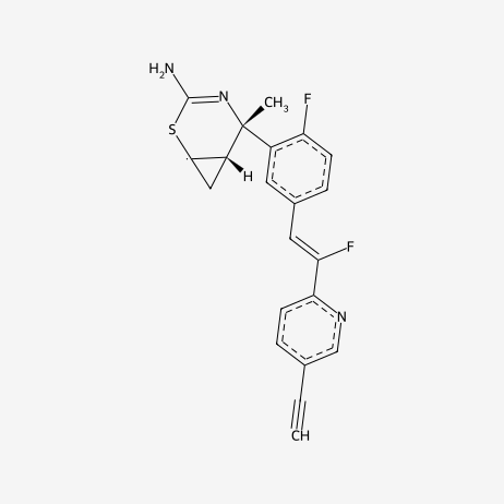 C#Cc1ccc(/C(F)=C/c2ccc(F)c([C@@]3(C)N=C(N)S[C]4C[C@H]43)c2)nc1